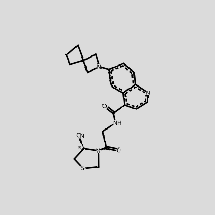 N#C[C@@H]1CSCN1C(=O)CNC(=O)c1ccnc2ccc(N3CC4(CCC4)C3)cc12